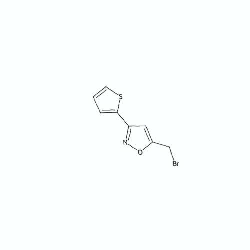 BrCc1cc(-c2cccs2)no1